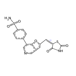 NS(=O)(=O)c1ccc(-c2cncc3cc(/C=C4/SC(=O)NC4=O)oc23)cc1